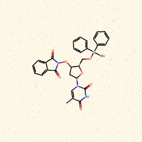 CC(C)(C)[Si](OC[C@H]1O[C@@H](n2cc(I)c(=O)[nH]c2=O)CC1ON1C(=O)c2ccccc2C1=O)(c1ccccc1)c1ccccc1